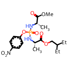 CCC(CC)COC(=O)[C@H](C)NP(=O)(N[C@@H](C)C(=O)OC)Oc1ccc([N+](=O)[O-])cc1